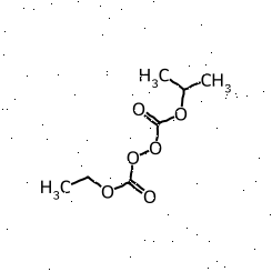 CCOC(=O)OOC(=O)OC(C)C